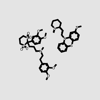 COc1ccc(CCN(C)CCCC2(c3ccc(OC)c(OC)c3)S(=O)(=O)CCCS2(=O)=O)cc1OC.CSc1ccc2c(c1)N(CCC1CCCCN1C)c1ccccc1S2